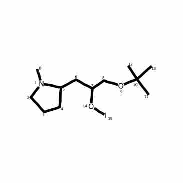 CN1CCCC1CC(COC(C)(C)C)OI